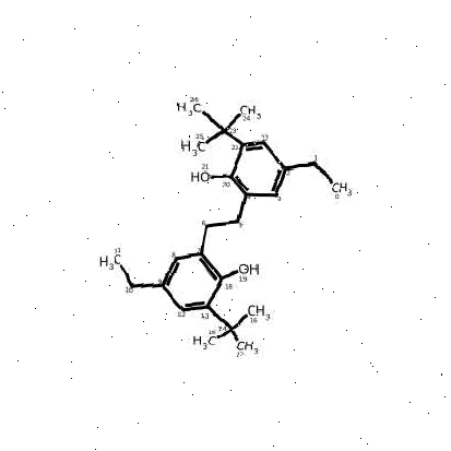 CCc1cc(CCc2cc(CC)cc(C(C)(C)C)c2O)c(O)c(C(C)(C)C)c1